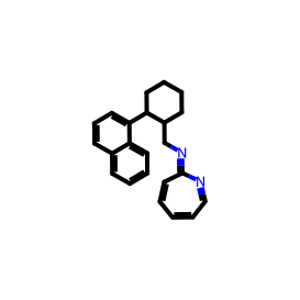 c1ccnc(=NCC2CCCCC2c2cccc3ccccc23)cc1